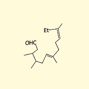 CC/C(C)=C\CCC(C)=CCC(C)C(C)CC=O